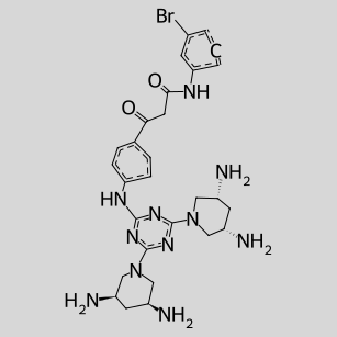 N[C@@H]1C[C@H](N)CN(c2nc(Nc3ccc(C(=O)CC(=O)Nc4cccc(Br)c4)cc3)nc(N3C[C@H](N)C[C@H](N)C3)n2)C1